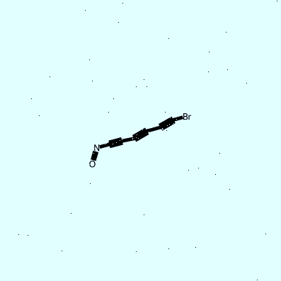 O=NC#CC#CC#CBr